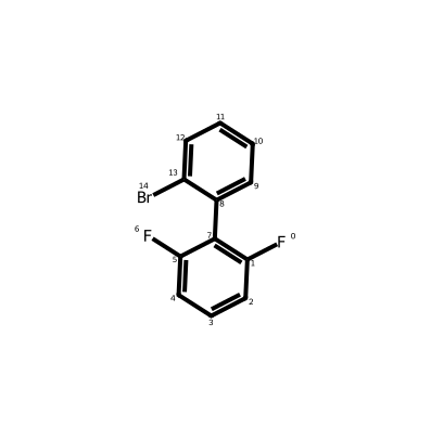 Fc1cccc(F)c1-c1ccccc1Br